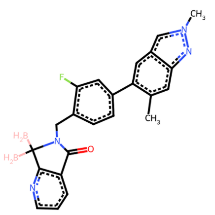 BC1(B)c2ncccc2C(=O)N1Cc1ccc(-c2cc3cn(C)nc3cc2C)cc1F